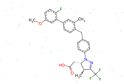 COc1ccc(F)c(-c2ccc(Cc3ccc(N4N=C(C(F)(F)F)[C@@H](C)[C@@H]4CC(=O)O)cc3)c(C)c2)c1